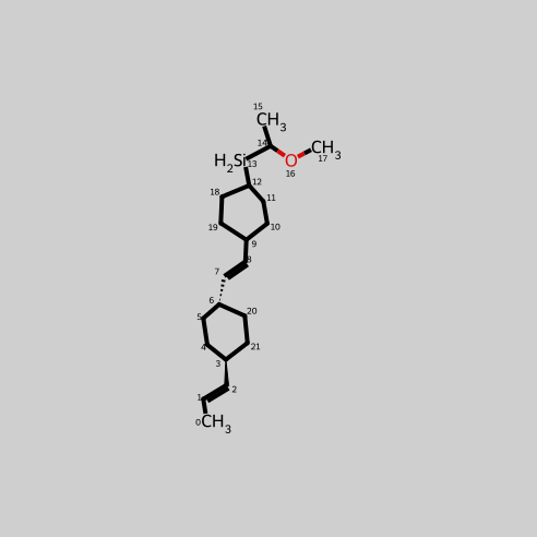 CC=C[C@H]1CC[C@H](C=CC2CCC([SiH2]C(C)OC)CC2)CC1